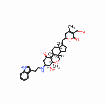 CC1=C(CO)C(=O)OC(CC2CCC3[C@@H]4CO[C@@]5(C)[C@@H](O)C(NCCc6c[nH]c7ccccc67)CC(=O)[C@]5(C)C4CC[C@]23C)C1